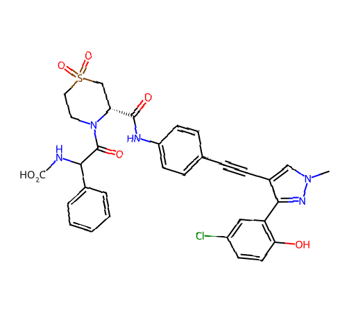 Cn1cc(C#Cc2ccc(NC(=O)[C@H]3CS(=O)(=O)CCN3C(=O)C(NC(=O)O)c3ccccc3)cc2)c(-c2cc(Cl)ccc2O)n1